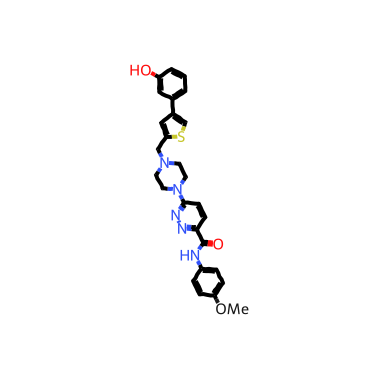 COc1ccc(NC(=O)c2ccc(N3CCN(Cc4cc(-c5cccc(O)c5)cs4)CC3)nn2)cc1